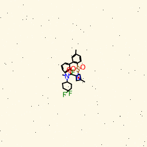 Cc1ccc(S(=O)(=O)N2CC3(C)CC2(C(=O)N(C)C2CCC(F)(F)CC2)C3)c(-c2ccccc2F)c1